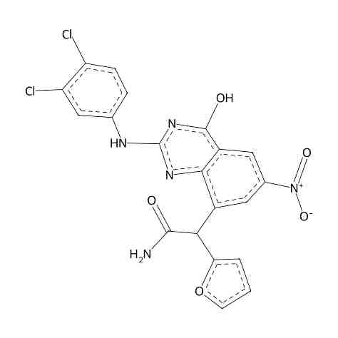 NC(=O)C(c1ccco1)c1cc([N+](=O)[O-])cc2c(O)nc(Nc3ccc(Cl)c(Cl)c3)nc12